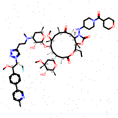 CC[C@H]1OC(=O)[C@H](C)C([C@H]2C[C@@](C)(OC)[C@@H](O)[C@H](C)O2)[C@H](C)[C@@H](O[C@@H]2O[C@H](C)C[C@H](N(C)CCc3cn([C@H](CF)[C@H](OC)c4ccc(-c5ccc(C)nc5)cc4)nn3)[C@H]2O)[C@](C)(OC)C[C@@H](C)C(=O)[C@H](C)[C@H]2N(NC3CCN(C(=O)C4CCOCC4)CC3)C(=O)O[C@]12C